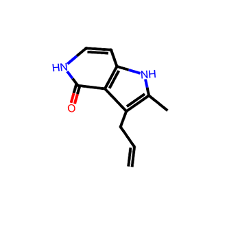 C=CCc1c(C)[nH]c2cc[nH]c(=O)c12